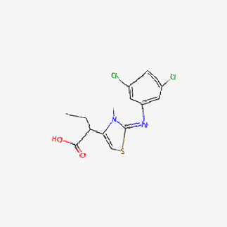 CCC(C(=O)O)c1cs/c(=N/c2cc(Cl)cc(Cl)c2)n1C